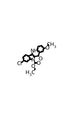 CCOC(=O)n1c(C(=O)c2cccc(OC)c2)c(N)c2ccc(Cl)cc21